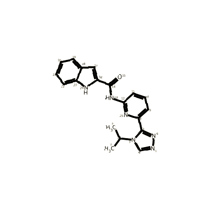 CC(C)n1cnnc1-c1cccc(NC(=O)c2cc3ccccc3[nH]2)n1